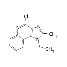 CCn1c(C)nc2c(Cl)nc3ccccc3c21